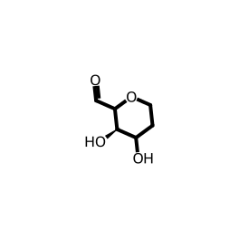 O=CC1OCCC(O)[C@H]1O